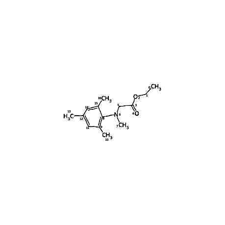 CCOC(=O)CN(C)c1c(C)cc(C)cc1C